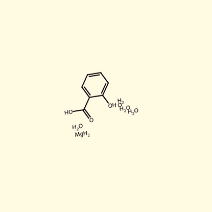 O.O.O.O.O=C(O)c1ccccc1O.[MgH2]